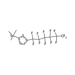 [CH3][Sn]([CH3])([CH3])[c]1ccc(C(F)(F)C(F)(F)C(F)(F)C(F)(F)C(F)(F)C(F)(F)F)s1